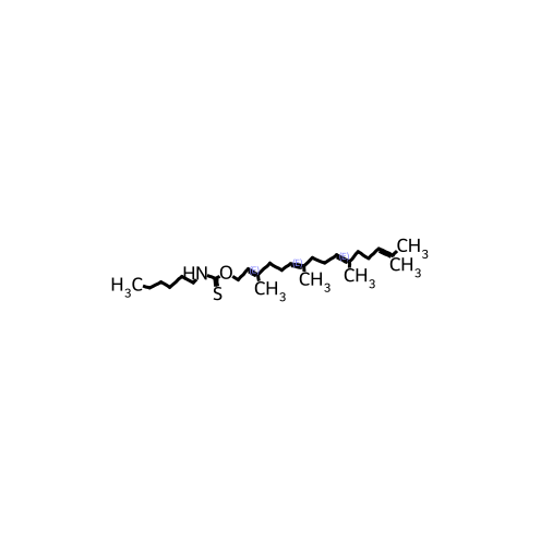 CCCCCCNC(=S)OC/C=C(\C)CC/C=C(\C)CC/C=C(\C)CCC=C(C)C